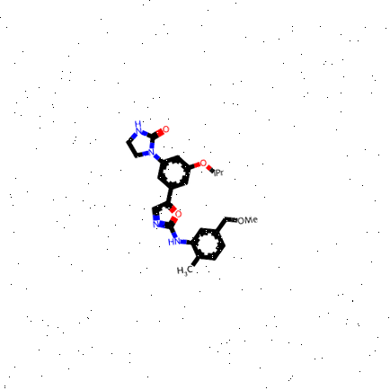 COCc1ccc(C)c(Nc2ncc(-c3cc(OC(C)C)cc(N4CCNC4=O)c3)o2)c1